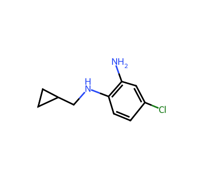 Nc1cc(Cl)ccc1NCC1CC1